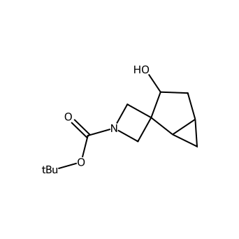 CC(C)(C)OC(=O)N1CC2(C1)C(O)CC1CC12